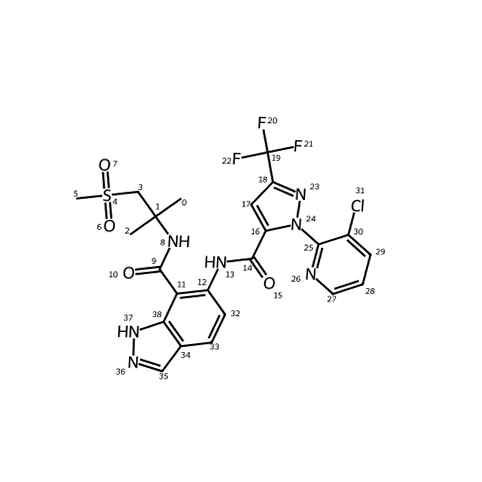 CC(C)(CS(C)(=O)=O)NC(=O)c1c(NC(=O)c2cc(C(F)(F)F)nn2-c2ncccc2Cl)ccc2cn[nH]c12